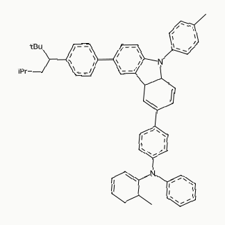 Cc1ccc(N2c3ccc(-c4ccc(C(CC(C)C)C(C)(C)C)cc4)cc3C3C=C(c4ccc(N(C5=CC=CCC5C)c5ccccc5)cc4)C=CC32)cc1